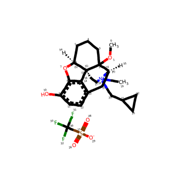 COC12CCC[C@@H]3Oc4c(O)ccc5c4[C@@]31CC[N+](C)(CC1CC1)[C@@H]2C5.O=S(=O)([O-])C(F)(F)F